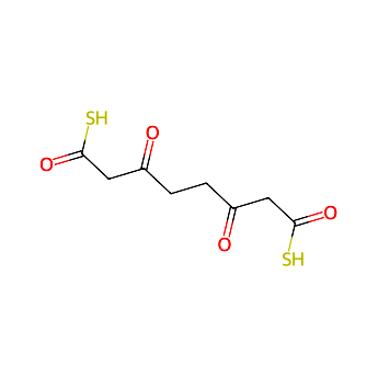 O=C(S)CC(=O)CCC(=O)CC(=O)S